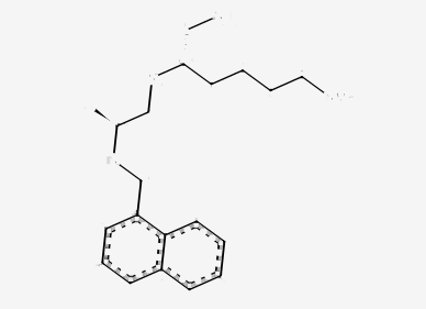 CCCC[C@@H](CN[C@H](CN)CCCCNC)NCc1cccc2ccccc12